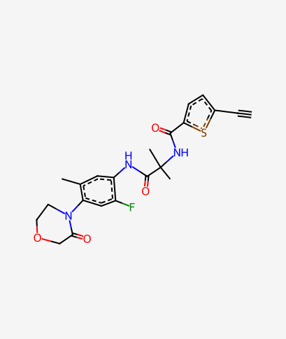 C#Cc1ccc(C(=O)NC(C)(C)C(=O)Nc2cc(C)c(N3CCOCC3=O)cc2F)s1